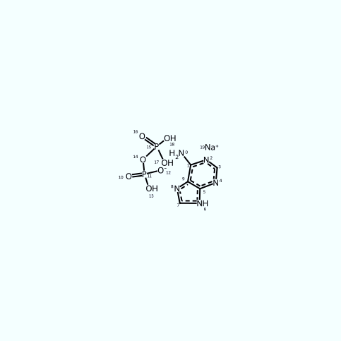 Nc1ncnc2[nH]cnc12.O=P([O-])(O)OP(=O)(O)O.[Na+]